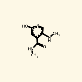 CNC(=O)c1cc(O)ncc1NC